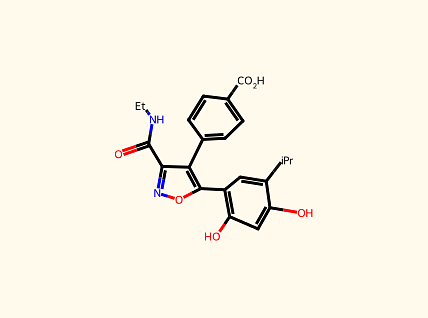 CCNC(=O)c1noc(-c2cc(C(C)C)c(O)cc2O)c1-c1ccc(C(=O)O)cc1